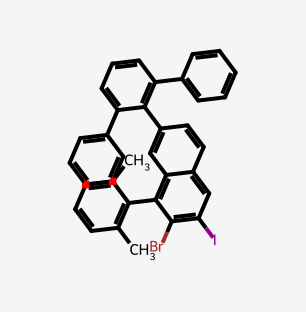 Cc1cccc(C)c1-c1c(Br)c(I)cc2ccc(-c3c(-c4ccccc4)cccc3-c3ccccc3)cc12